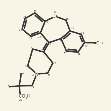 CC(C)(CN1CCC(=C2c3ccc(F)cc3COc3ccccc32)CC1)C(=O)O